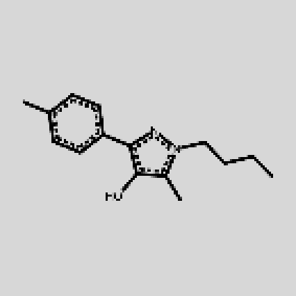 CCCCn1nc(-c2ccc(C)cc2)c(O)c1C